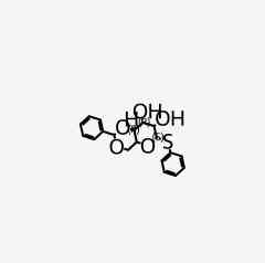 OC1[C@@H](O)[C@H]2OC(c3ccccc3)OCC2O[C@H]1Sc1ccccc1